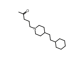 CC(=O)CCCN1CCC(CCC2CCCCC2)CC1